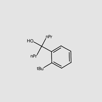 CCCC(O)(CCC)c1ccccc1C(C)(C)C